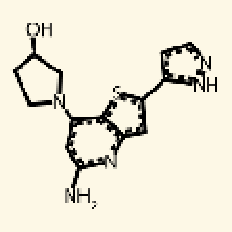 Nc1cc(N2CC[C@@H](O)C2)c2sc(-c3ccn[nH]3)cc2n1